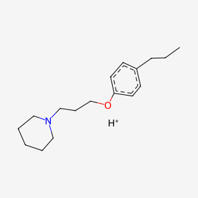 CCCc1ccc(OCCCN2CCCCC2)cc1.[H+]